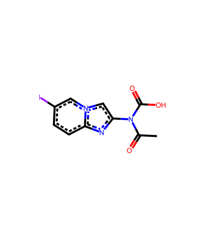 CC(=O)N(C(=O)O)c1cn2cc(I)ccc2n1